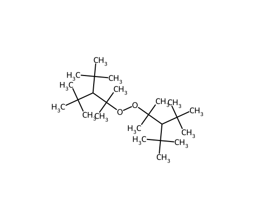 CC(C)(C)C(C(C)(C)C)C(C)(C)OOC(C)(C)C(C(C)(C)C)C(C)(C)C